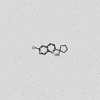 O=NC1(c2ccc3cc(Cl)ncc3n2)CCCC1